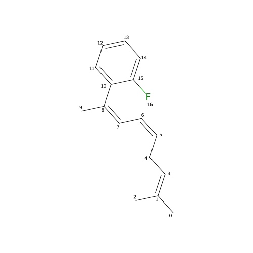 CC(C)=CC/C=C\C=C(\C)c1ccccc1F